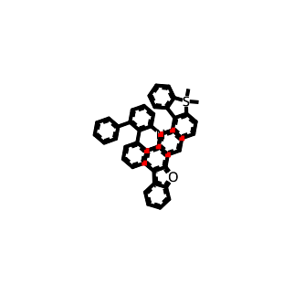 CS1(C)c2ccccc2-c2c(N(c3ccc4c(c3)oc3ccccc34)c3cccc(-c4ccccc4)c3-c3ccccc3-c3ccccc3)cccc21